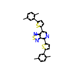 Cc1ccc(C)c(-c2ccc(-c3cnc(-c4ccc(-c5cc(C)ccc5C)s4)c4nsnc34)s2)c1